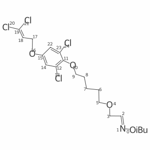 CC(C)CO/N=C/COCCCCCOc1c(Cl)cc(OCC=C(Cl)Cl)cc1Cl